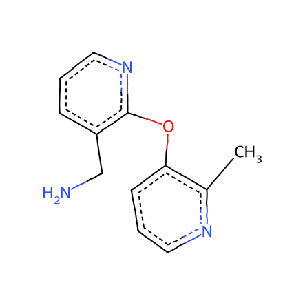 Cc1ncccc1Oc1ncccc1CN